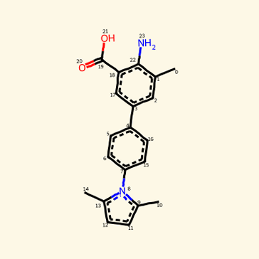 Cc1cc(-c2ccc(-n3c(C)ccc3C)cc2)cc(C(=O)O)c1N